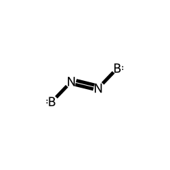 [B]N=N[B]